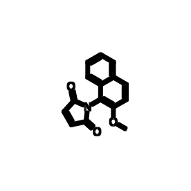 COc1ccc2ccccc2c1N1C(=O)C=CC1=O